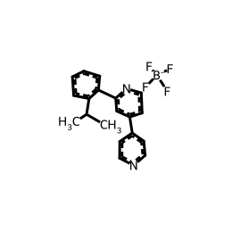 CC(C)c1ccccc1-c1cc(-c2ccncc2)ccn1.F[B-](F)(F)F